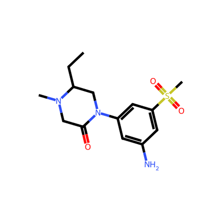 CCC1CN(c2cc(N)cc(S(C)(=O)=O)c2)C(=O)CN1C